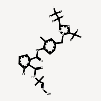 Cc1cc(Cn2nc(C(F)(F)C(F)(F)F)nc2C(F)(F)F)ccc1NC(=O)c1cccc(Cl)c1C(=O)NC(C)(C)/C=N/O